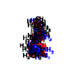 CC[C@H](C)[C@H](NC(=O)C(C)(C)NC(=O)[C@H](CCC(N)=O)NC(=O)C(C)(C)NC(=O)C(C)(C)NC(=O)[C@H](C)NC(=O)C(C)(C)NC(=O)[C@H](C)NC(=O)C(C)(C)NC(C)=O)C(=O)NC(C)(C)C(=O)NCC(=O)N[C@@H](CC(C)C)C(=O)NC(C)(C)C(=O)N1CCC[C@H]1C(=O)N[C@H](C(=O)NC(C)(C)C(=O)NC(C)(C)C(=O)N[C@@H](CCC(N)=O)C(=O)N[C@@H](CCC(N)=O)C(=O)N[C@H](CO)Cc1ccccc1)C(C)C